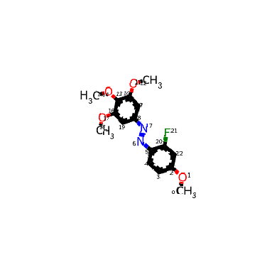 COc1ccc(/N=N/c2cc(OC)c(OC)c(OC)c2)c(F)c1